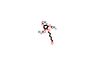 COc1cc(OC)c(OCCCCC[C]=O)c(OC)c1